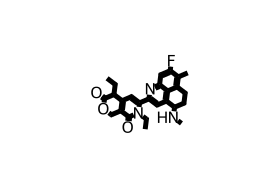 CCC1C(=O)OCc2c1cc(-c1cc3c4c(c(C)c(F)cc4n1)CCC3NC)n(CC)c2=O